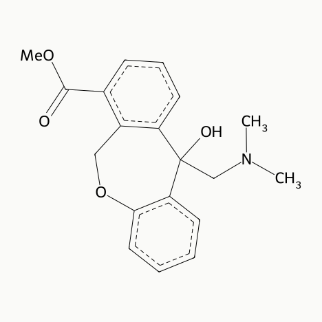 COC(=O)c1cccc2c1COc1ccccc1C2(O)CN(C)C